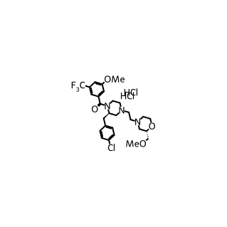 COC[C@@H]1CN(CCN2CCN(C(=O)c3cc(OC)cc(C(F)(F)F)c3)[C@H](Cc3ccc(Cl)cc3)C2)CCO1.Cl.Cl